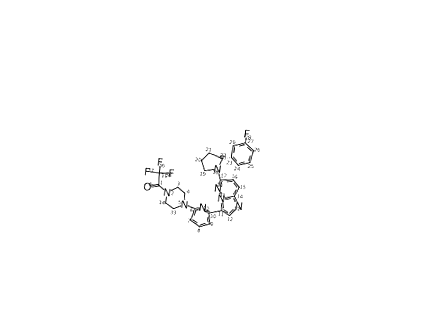 O=C(N1CCN(c2cccc(-c3cnc4ccc(N5CCC[C@@H]5c5cccc(F)c5)nn34)n2)CC1)C(F)(F)F